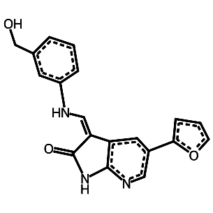 O=C1Nc2ncc(-c3ccco3)cc2/C1=C/Nc1cccc(CO)c1